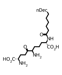 CCCCCCCCCCCCCCCC(=O)N[C@@H](CCCC(N)C(=O)CC[C@H](N)C(=O)O)C(=O)O